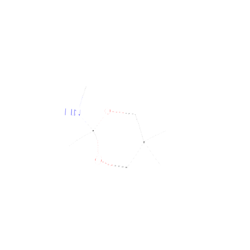 CNC1(C)OCC(C)(C)CO1